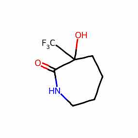 O=C1NCCCCC1(O)C(F)(F)F